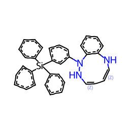 C1=C\Nc2ccccc2N(c2cccc([Si](c3ccccc3)(c3ccccc3)c3ccccc3)c2)N\C=C/1